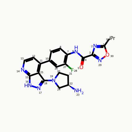 CC(C)c1nc(C(=O)Nc2ccc(-c3ccnc4[nH]nc(N5CC[C@@H](N)C5)c34)cc2F)no1